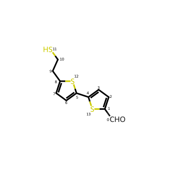 O=Cc1ccc(-c2ccc(CCS)s2)s1